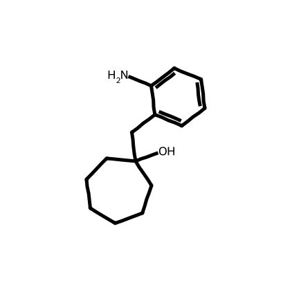 Nc1ccccc1CC1(O)CCCCCC1